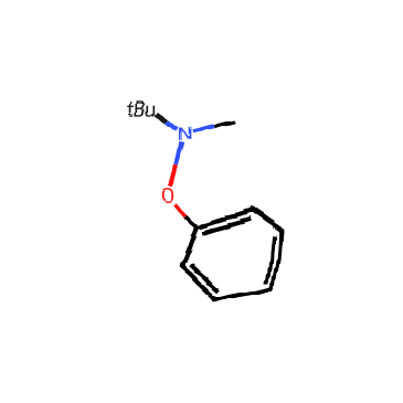 CN(Oc1ccccc1)C(C)(C)C